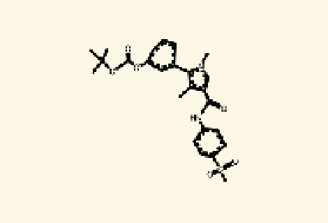 Cc1c(C(=O)Nc2ccc(S(C)(=O)=O)cc2)cn(C)c1-c1cccc(OC(=O)OC(C)(C)C)c1